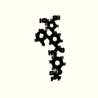 Cc1ncncc1-c1cc(C(=O)Nc2ccc(OC(F)(F)Cl)cc2)ccc1N1C[C@H](O)[C@@H](O)C1